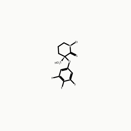 CCN1CCC[C@](Oc2cc(F)c(F)c(F)c2)(C(=O)O)C1=S